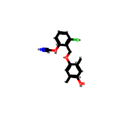 Cc1cc(OCc2c(Cl)cccc2OC#N)c(C)cc1O